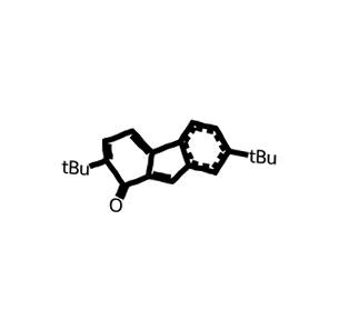 CC(C)(C)C1=CC=C2C(=Cc3cc(C(C)(C)C)ccc32)C1=O